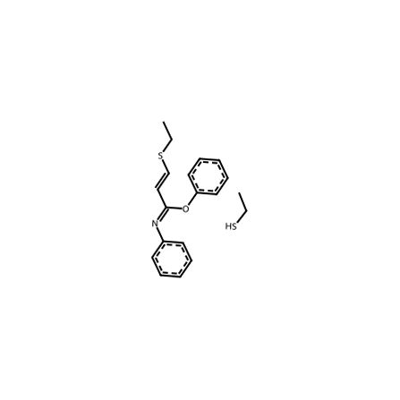 CCS.CCSC=CC(=Nc1ccccc1)Oc1ccccc1